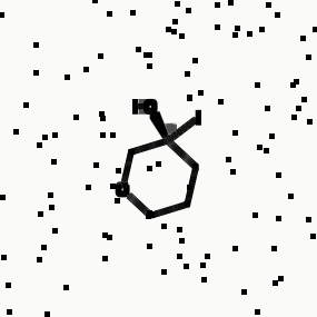 O[C@@]1(I)CCCOC1